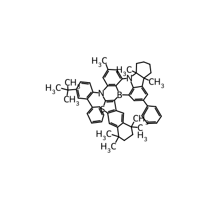 Cc1cc2c3c(c1)N1c4c(cc(-c5ccccc5)cc4C4(C)CCCCC14C)B3c1c(sc3cc4c(cc13)C(C)(C)CCC4(C)C)N2c1ccc(C(C)(C)C)cc1-c1ccccc1